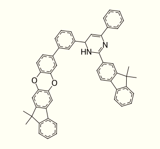 CC1(C)c2ccccc2-c2ccc(C3=NC(c4ccccc4)=CC(c4cccc(-c5ccc6c(c5)Oc5cc7c(cc5O6)C(C)(C)c5ccccc5-7)c4)N3)cc21